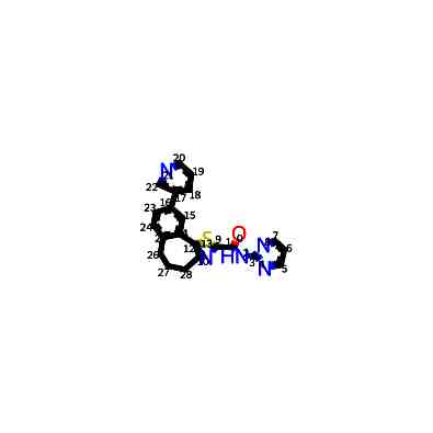 O=C(Nc1ncccn1)c1nc2c(s1)-c1cc(-c3cccnc3)ccc1CCC2